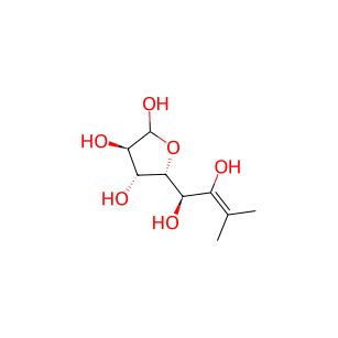 CC(C)=C(O)[C@@H](O)[C@H]1OC(O)[C@H](O)[C@H]1O